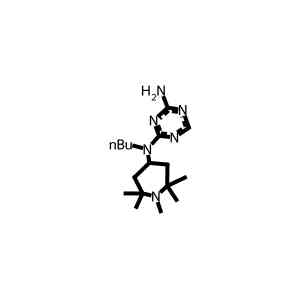 CCCCN(c1ncnc(N)n1)C1CC(C)(C)N(C)C(C)(C)C1